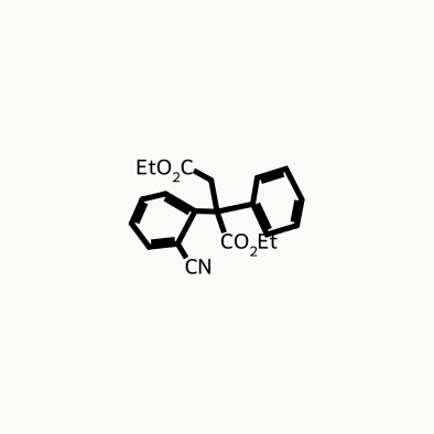 CCOC(=O)CC(C(=O)OCC)(c1ccccc1)c1ccccc1C#N